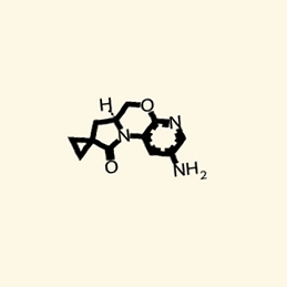 Nc1cnc2c(c1)N1C(=O)C3(CC3)C[C@H]1CO2